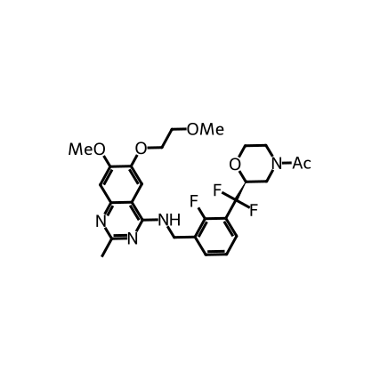 COCCOc1cc2c(NCc3cccc(C(F)(F)[C@@H]4CN(C(C)=O)CCO4)c3F)nc(C)nc2cc1OC